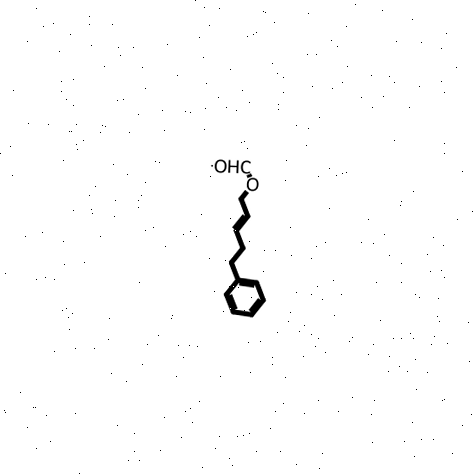 O=[C]OC/C=C/CCc1ccccc1